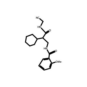 COc1ccccc1C(=O)NCC(C(=O)NCC#N)C1CCCCC1